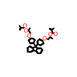 C=C(C)C(=O)OC(C)COc1ccc(C2(c3ccc(OCC(C)OC(=O)C(=C)C)cc3)c3ccccc3-c3ccccc32)cc1